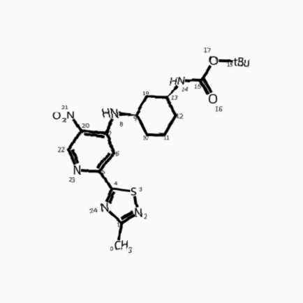 Cc1nsc(-c2cc(N[C@@H]3CCC[C@H](NC(=O)OC(C)(C)C)C3)c([N+](=O)[O-])cn2)n1